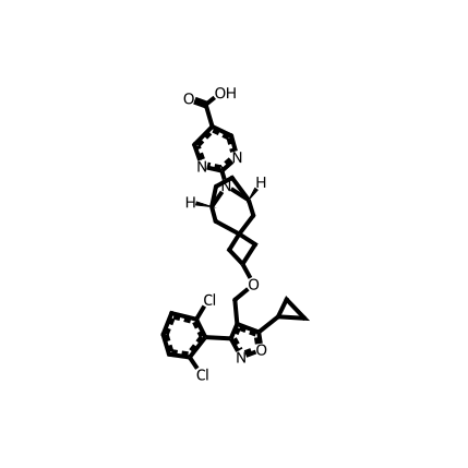 O=C(O)c1cnc(N2[C@@H]3CC[C@H]2CC2(CC(OCc4c(-c5c(Cl)cccc5Cl)noc4C4CC4)C2)C3)nc1